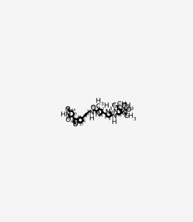 Cc1cc(-c2ccc(Nc3cc4c(c(C(C)C)n3)n(C)c(=O)n4C)cn2)cnc1C(=O)NCC#Cc1ccc2occ(C3CCC(=O)NC3=O)c2c1